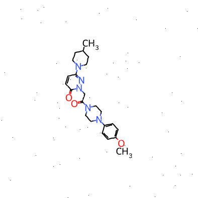 COc1ccc(N2CCN(C(=O)Cn3nc(N4CCC(C)CC4)ccc3=O)CC2)cc1